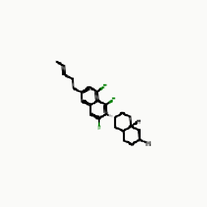 C/C=C/CCc1cc(F)c2c(F)c([C@@H]3CC[C@@H]4CC(CC)CCC4C3)c(F)cc2c1